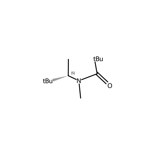 C[C@H](N(C)C(=O)C(C)(C)C)C(C)(C)C